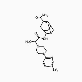 C[C@@H](C(=O)NC1C2CC3CC1CC(C(N)=O)(C3)C2)N1CCN(c2ccc(C(F)(F)F)cn2)CC1